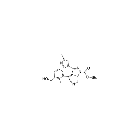 Cc1c(CO)cccc1-c1cncc2c1c(-c1cnn(C)c1)nn2C(=O)OC(C)(C)C